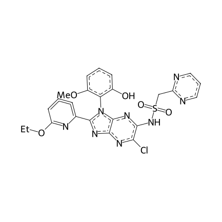 CCOC1=NC(c2nc3nc(Cl)c(NS(=O)(=O)Cc4ncccn4)nc3n2-c2c(O)cccc2OC)=C=C=C1